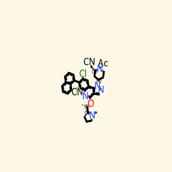 CC(=O)N1CC[C@H](n2ncc3c(O[C@@H](C)[C@@H]4CCCN4C)nc4c(F)c(-c5cccc6cccc(C#N)c56)c(Cl)cc4c32)C[C@H]1CC#N